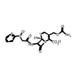 NC(=O)OCC1=C(C(=O)O)N2C(=O)C(NC(=O)C[S+]([O-])c3cccs3)[C@@H]2SC1